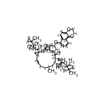 CC[C@@H]1C[C@H](C)CC/C=C\C2C[C@@]2(C(=O)NS(=O)(=O)C2(C)CC2)NC(=O)[C@@H]2C[C@@H](Oc3nccc4c5c(ccc34)OCCO5)CN2C(=O)[C@H]1NC(=O)OC(C)(C)C(C)(F)F